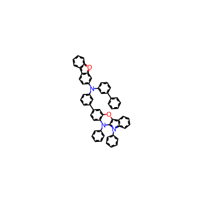 c1ccc(-c2cccc(N(c3cccc(-c4ccc5c(c4)Oc4c(n(-c6ccccc6)c6ccccc46)N5c4ccccc4)c3)c3ccc4c(c3)oc3ccccc34)c2)cc1